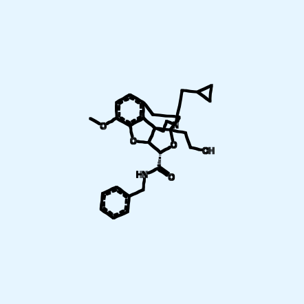 COc1ccc2c3c1OC1[C@@H](C(=O)NCc4ccccc4)OC4(CCO)C(C2)N(CC2CC2)CC[C@]314